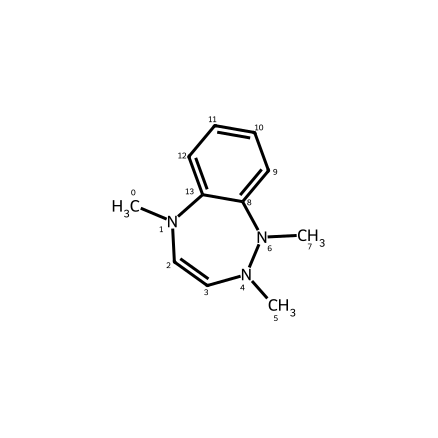 Cn1ccn(C)n(C)c2ccccc21